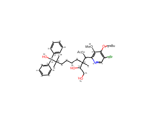 CCCCOc1c(Br)cnc(C(OC(C)=O)C(C)(CCCCC(C)(C)[Si](O)(c2ccccc2)c2ccccc2)C(O)CO)c1OC